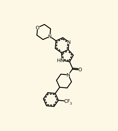 O=C(c1cc2ncc(N3CCOCC3)cc2[nH]1)N1CCC(c2ccccc2C(F)(F)F)CC1